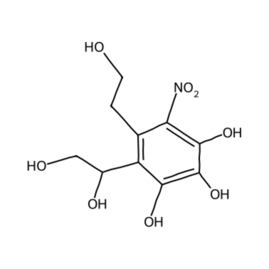 O=[N+]([O-])c1c(O)c(O)c(O)c(C(O)CO)c1CCO